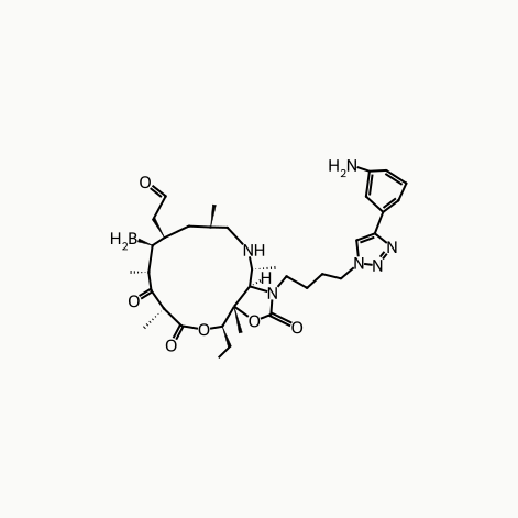 B[C@H]1[C@@H](CC=O)C[C@@H](C)CN[C@H](C)[C@H]2N(CCCCn3cc(-c4cccc(N)c4)nn3)C(=O)O[C@]2(C)[C@@H](CC)OC(=O)[C@H](C)C(=O)[C@@H]1C